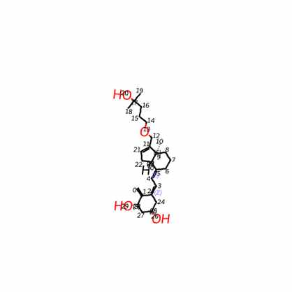 C=C1/C(=C\C=C2/CCC[C@]3(C)C(COCCCC(C)(C)O)=CC[C@@H]23)C[C@@H](O)C[C@@H]1O